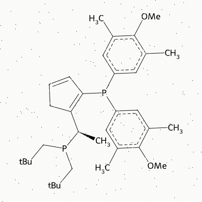 COc1c(C)cc(P(C2=C([C@@H](C)P(CC(C)(C)C)CC(C)(C)C)CC=C2)c2cc(C)c(OC)c(C)c2)cc1C